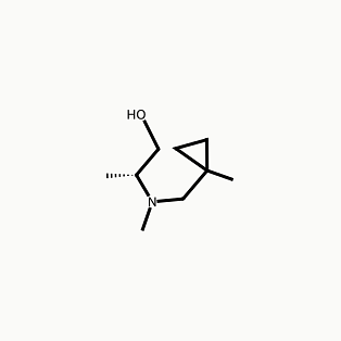 C[C@H](CO)N(C)CC1(C)CC1